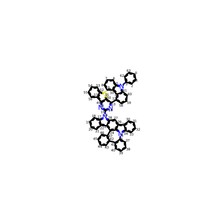 c1ccc(-n2c3ccccc3c3c(-c4nc(-n5c6ccccc6c6c7c8c(cc65)c5ccccc5n8-c5ccccc5-c5ccccc5-7)nc5c4sc4ccccc45)cccc32)cc1